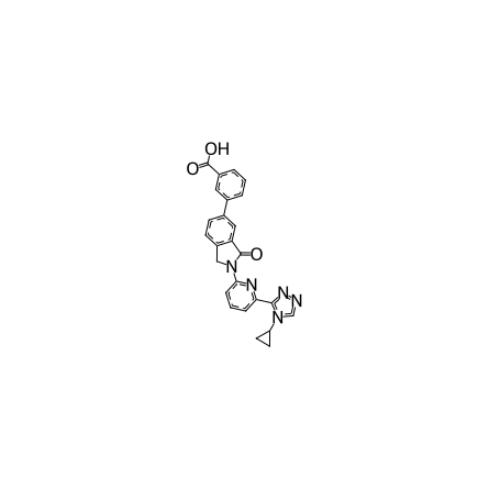 O=C(O)c1cccc(-c2ccc3c(c2)C(=O)N(c2cccc(-c4nncn4C4CC4)n2)C3)c1